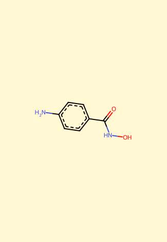 Nc1ccc(C(=O)NO)cc1